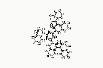 c1ccc2c(c1)ccc1oc3c(-c4nc(-c5ccnc6ccccc56)nc(-c5cc6ccccc6c6c5oc5ccc7ccccc7c56)n4)cc4ccccc4c3c12